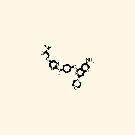 CN(C)C(=O)COc1cnc(NC2CCC(Oc3nc(N4CCOCC4)cc4ncc(N)cc34)CC2)nc1